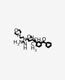 CC(C)(c1cccc(C(=O)c2ccccc2)c1)c1cc(N(CCN2CCOCC2)C(=N)N)on1